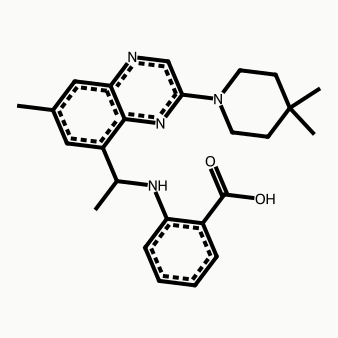 Cc1cc(C(C)Nc2ccccc2C(=O)O)c2nc(N3CCC(C)(C)CC3)cnc2c1